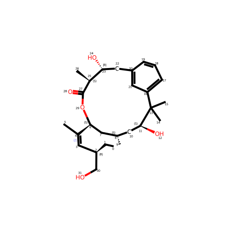 CC[C@H](/C=C(/C)[C@@H]1C[C@@H](C)C[C@H](O)C(C)(C)c2cccc(c2)C[C@@H](O)[C@H](C)C(=O)O1)CO